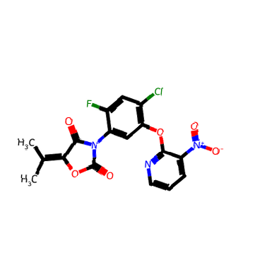 CC(C)=C1OC(=O)N(c2cc(Oc3ncccc3[N+](=O)[O-])c(Cl)cc2F)C1=O